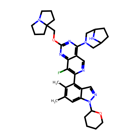 Cc1cc2c(cnn2C2CCCCO2)c(-c2ncc3c(N4CC5CCC(C4)N5)nc(OCC45CCCN4CCC5)nc3c2F)c1C